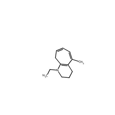 CCN1CCCC2=C1CC=CC=C2C